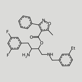 CCc1cccc(CNCC(OC(=O)c2c(-c3ccccc3)noc2C)C(N)Cc2cc(F)cc(F)c2)c1